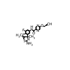 C#CCOc1cnc(C(=O)Nc2cc(F)c(F)c([C@@]3(C)N=C(N)SC4C(C)C43)c2)cn1